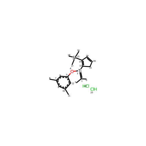 C[C](C)=[Ti]([O]c1cc(C)cc(C)c1)[C]1=C([Si](C)(C)C)C=CC1.Cl.Cl